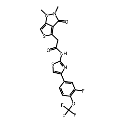 Cn1c(=O)c2c(CC(=O)Nc3nc(-c4ccc(OC(F)(F)F)c(F)c4)cs3)scc2n1C